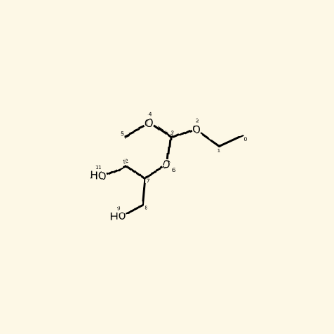 CCOC(OC)OC(CO)CO